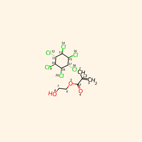 C=C(C)C(=O)OCCO.Cl[C@H]1[C@H](Cl)[C@@H](Cl)[C@@H](Cl)[C@H](Cl)[C@H]1Cl